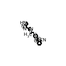 CC(CN1CCN(S(=O)(=O)c2ccccc2C#N)CC1)n1cc(-c2ncnc3[nH]ccc23)cn1